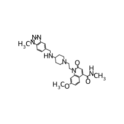 CNC(=O)c1cc(=O)n(CCN2CCC(NCc3ccc4c(c3)nnn4C)CC2)c2cc(OC)ccc12